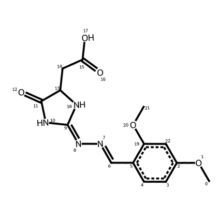 COc1ccc(C=NN=C2NC(=O)C(CC(=O)O)N2)c(OC)c1